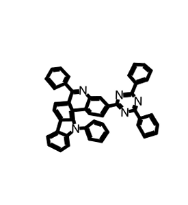 c1ccc(-c2nc(-c3ccccc3)nc(-c3ccc4c(c3)nc(-c3ccccc3)c3ccc5c6ccccc6n(-c6ccccc6)c5c34)n2)cc1